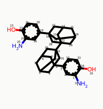 Nc1cc(C23CC4CC(C2)CC(C25CC6CC(CC(c7ccc(O)c(N)c7)(C6)C2)C5)(C4)C3)ccc1O